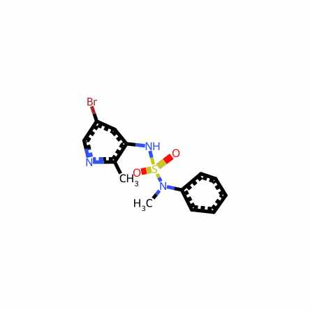 Cc1ncc(Br)cc1NS(=O)(=O)N(C)c1ccccc1